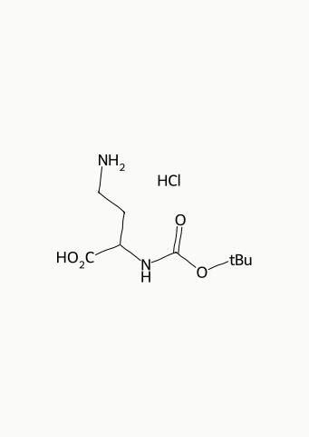 CC(C)(C)OC(=O)NC(CCN)C(=O)O.Cl